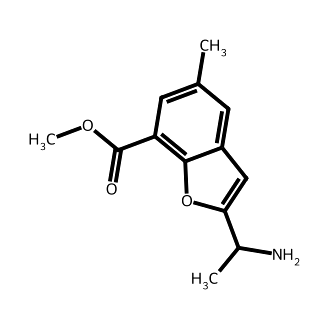 COC(=O)c1cc(C)cc2cc(C(C)N)oc12